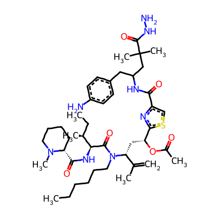 C=C(C)[C@@H](C[C@@H](OC(C)=O)c1nc(C(=O)NC(Cc2ccc(N)cc2)CC(C)(C)C(=O)NN)cs1)N(CCCCCC)C(=O)[C@@H](NC(=O)[C@H]1CCCCN1C)[C@@H](C)CC